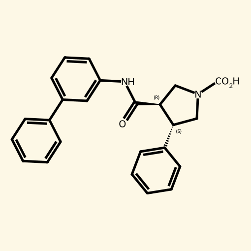 O=C(Nc1cccc(-c2ccccc2)c1)[C@H]1CN(C(=O)O)C[C@@H]1c1ccccc1